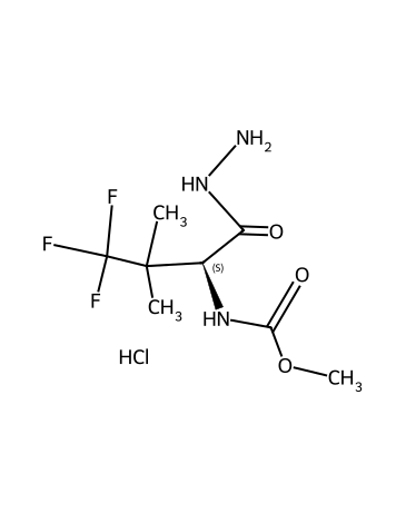 COC(=O)N[C@H](C(=O)NN)C(C)(C)C(F)(F)F.Cl